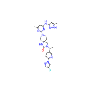 Cc1cc(Nc2cc(C)[nH]n2)nc(N2CCC3(CC2)CN(C(C)c2ccc(-n4cc(F)cn4)nc2)C(=O)N3)n1